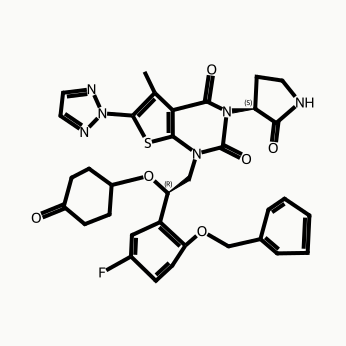 Cc1c(-n2nccn2)sc2c1c(=O)n([C@H]1CCNC1=O)c(=O)n2C[C@H](OC1CCC(=O)CC1)c1cc(F)ccc1OCc1ccccc1